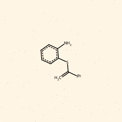 C=C(Sc1ccccc1N)C(C)C